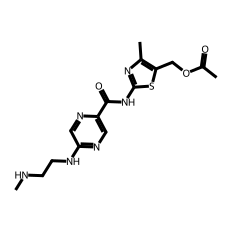 CNCCNc1cnc(C(=O)Nc2nc(C)c(COC(C)=O)s2)cn1